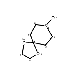 [O-][S+]1CCC2(CC1)OCCO2